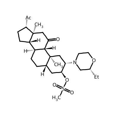 CC[C@@H]1CN([C@H]2C[C@@]3(C)[C@@H](CC[C@H]4[C@@H]5CC[C@H](C(C)=O)[C@@]5(C)CC(=O)[C@@H]43)C[C@@H]2OS(C)(=O)=O)CCO1